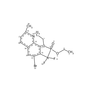 CCOP(=O)(OCC)C(F)(F)c1cc2nc(C)ccc2cc1Br